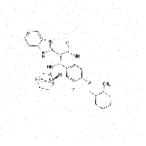 CN1CCCCC1COc1cc2[nH]c(=O)c(-c3nc4ccccc4[nH]3)c(N[C@H]3CN4CCC3CC4)c2cc1F